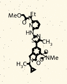 CCN(C(=O)COC)c1cccc(Nc2nc(C)c(-c3cc4c(c(S(=O)(=O)NC)c3)C(=O)N(C(C)C3CC3)C4)s2)n1